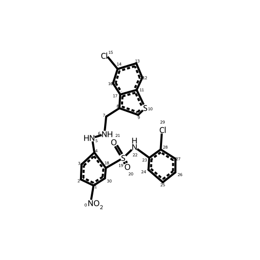 O=[N+]([O-])c1ccc(NNCc2csc3ccc(Cl)cc23)c(S(=O)(=O)Nc2ccccc2Cl)c1